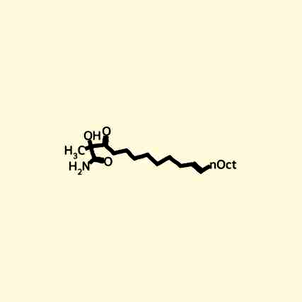 CCCCCCCCC=CCCCCCCCC(=O)C(C)(O)C(N)=O